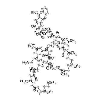 CCc1c2c(nc3ccccc13)-c1cc3c(c(=O)n1C2)COC(=O)[C@@]3(CC)OC(=O)[C@@H](NC(=O)[C@@H]1CCCN1C(=O)[C@H](CC(N)=O)NC(=O)CN(C)CCN(C)CCN(C)CCNC(=O)[C@H](CCCCNC(=O)CN(C)CCN(C)CCN(C)CCN)NC(=O)CN(C)CCN(C)CCN(C)CCN)C(C)C